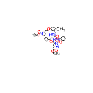 Cc1ccc(OCCC2CCCN(C(=O)OC(C)(C)C)C2)cc1CNC(=O)[C@H](CCc1ccccc1)NC(=O)[C@H](CCCC(=O)OC(C)(C)C)NC(=O)OCc1ccccc1